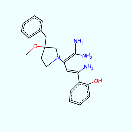 COC1(Cc2ccccc2)CCN(C(/C=C(\N)c2ccccc2O)=C(N)N)C1